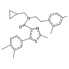 Cc1ccc(CCN(CC2CC2)C(=O)c2nc(C)sc2-c2ccc(C)c(C)c2)c(C)c1